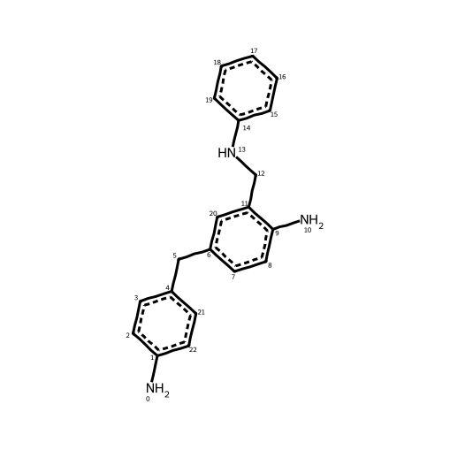 Nc1ccc(Cc2ccc(N)c(CNc3ccccc3)c2)cc1